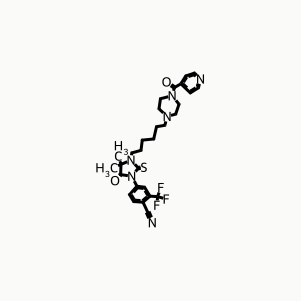 CC1(C)C(=O)N(c2ccc(C#N)c(C(F)(F)F)c2)C(=S)N1CCCCCCN1CCN(C(=O)c2ccncc2)CC1